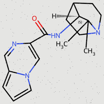 CC1(C)[C@@H](NC(=O)c2cn3cccc3cn2)C2CCN1CC2